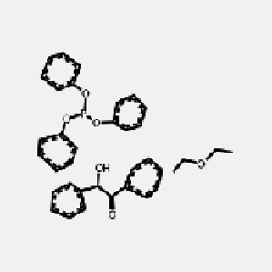 CCOCC.O=C(c1ccccc1)C(O)c1ccccc1.c1ccc(OP(Oc2ccccc2)Oc2ccccc2)cc1